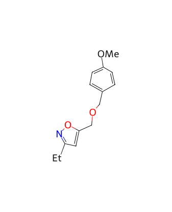 CCc1cc(COCc2ccc(OC)cc2)on1